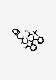 CC(C)(C)N(C(=O)O)C(c1ccccc1)c1nn(NC(=O)CC2CC3CCC2C3)c(=O)c2ccccc12